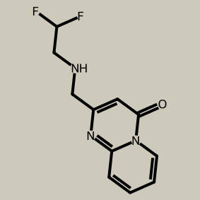 O=c1cc(CNCC(F)F)nc2ccccn12